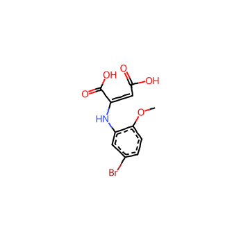 COc1ccc(Br)cc1NC(=CC(=O)O)C(=O)O